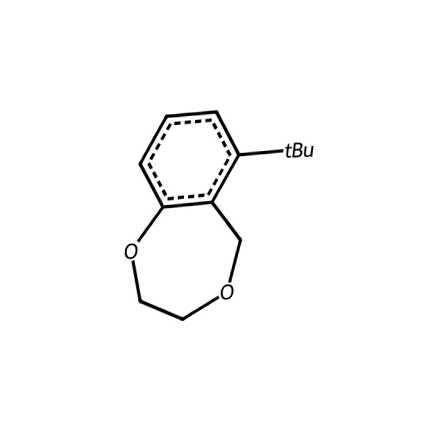 CC(C)(C)c1cccc2c1COCCO2